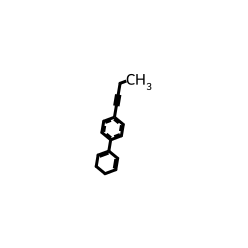 CCC#Cc1ccc(C2=CCCC=C2)cc1